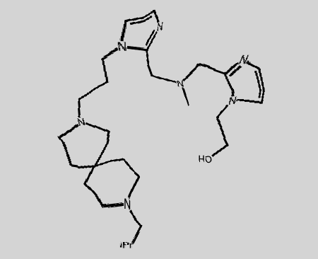 CC(C)CN1CCC2(CC1)CCN(CCCn1ccnc1CN(C)Cc1nccn1CCO)C2